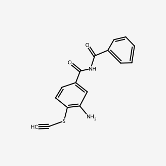 C#CSc1ccc(C(=O)NC(=O)c2ccccc2)cc1N